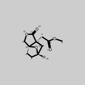 COC(=O)C[C@]12C[C@@H]3CC[C@@]1(COC2=O)O3